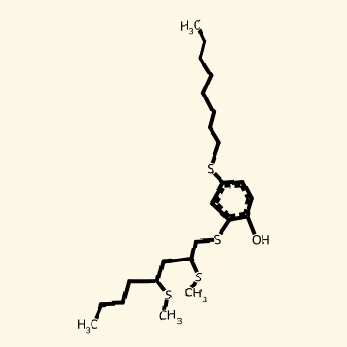 CCCCCCCCSc1ccc(O)c(SCC(CC(CCCC)SC)SC)c1